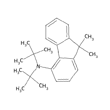 CC1(C)c2ccccc2-c2c(N(C(C)(C)C)C(C)(C)C)cccc21